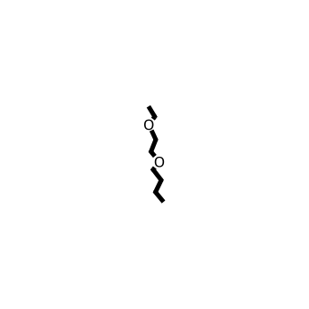 CCCCOCCOCC